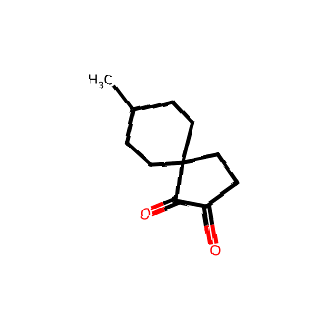 CC1CCC2(CCC(=O)C2=O)CC1